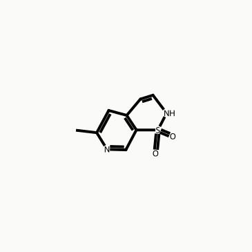 Cc1cc2c(cn1)S(=O)(=O)NC=C2